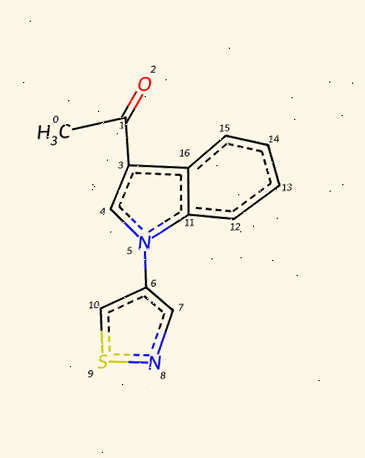 CC(=O)c1cn(-c2cnsc2)c2ccccc12